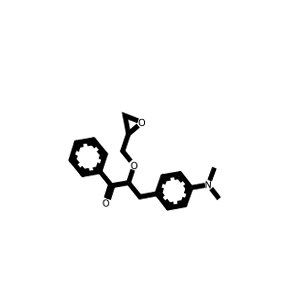 CN(C)c1ccc(CC(OCC2CO2)C(=O)c2ccccc2)cc1